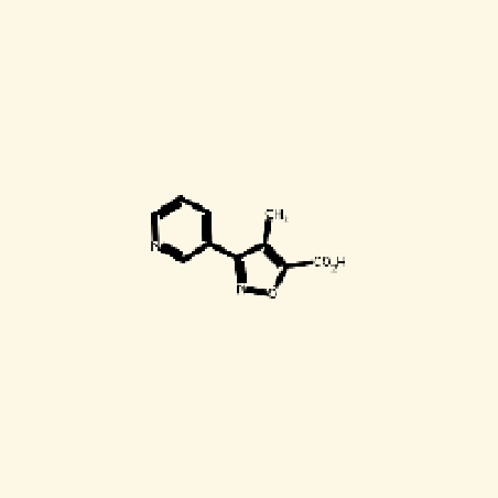 Cc1c(-c2cccnc2)noc1C(=O)O